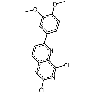 COc1ccc(-c2ccc3nc(Cl)nc(Cl)c3n2)cc1OC